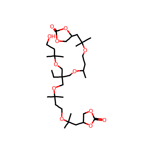 CCC(COC(C)CCOC(C)(C)CC1COC(=O)O1)(COC(C)(C)CCO)COC(C)(C)CCOC(C)(C)CC1COC(=O)O1